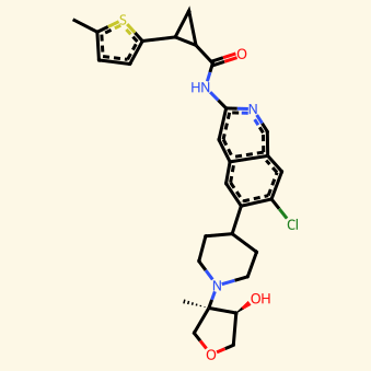 Cc1ccc(C2CC2C(=O)Nc2cc3cc(C4CCN([C@]5(C)COC[C@@H]5O)CC4)c(Cl)cc3cn2)s1